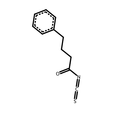 O=C(CCCc1ccccc1)N=C=S